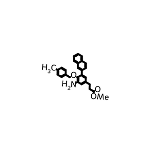 COC(=O)CCc1cc(N)c(OCc2ccc(C)cc2)c(-c2ccc3ccccc3c2)c1